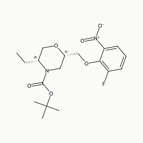 CC[C@@H]1CO[C@H](COc2c(F)cccc2[N+](=O)[O-])CN1C(=O)OC(C)(C)C